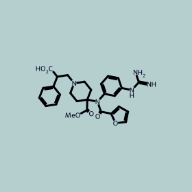 COC(=O)C1(N(C(=O)c2ccco2)c2cccc(NC(=N)N)c2)CCN(CC(C(=O)O)c2ccccc2)CC1